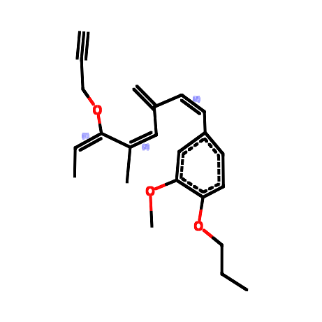 C#CCOC(=C/C)/C(C)=C\C(=C)/C=C\c1ccc(OCCC)c(OC)c1